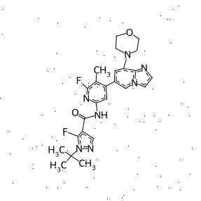 Cc1c(-c2cc(N3CCOCC3)c3nccn3c2)cc(NC(=O)c2cnn(C(C)(C)C)c2F)nc1F